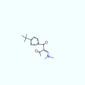 CC(=O)C(=CN(C)C)C(=O)c1ccc(C(C)(C)C)cc1